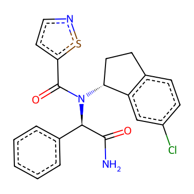 NC(=O)[C@@H](c1ccccc1)N(C(=O)c1ccns1)[C@@H]1CCc2ccc(Cl)cc21